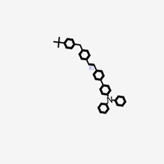 CC(C)(C)c1ccc(Cc2ccc(/C=C/c3ccc(-c4ccc(N(c5ccccc5)c5ccccc5)cc4)cc3)cc2)cc1